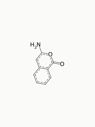 Nc1cc2ccccc2c(=O)o1